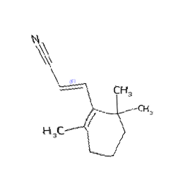 CC1=C(/C=C/C#N)C(C)(C)CCC1